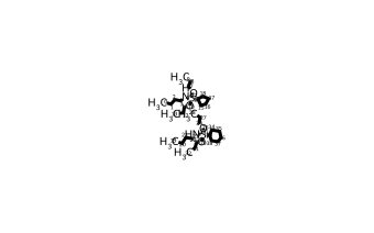 CCCCN[Si](OCCC)(OCCC)C1CCCC1.CCCCN[Si](OCCC)(OCCC)C1CCCCC1